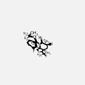 CC(C)(C)OC(=O)N1C(=N)[C@@](C)(C#N)C[C@@H]2C(C(C)(C)F)OC[C@@]21c1ccccc1F